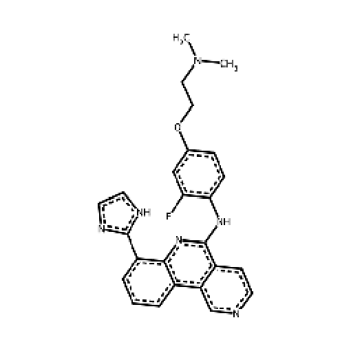 CN(C)CCOc1ccc(Nc2nc3c(-c4ncc[nH]4)cccc3c3cnccc23)c(F)c1